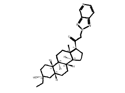 CC[C@@]1(O)CC[C@H]2[C@H](CC[C@@H]3[C@@H]2CC[C@]2(C)[C@@H](C(=O)Cn4nc5ccncc5n4)CC[C@@H]32)C1